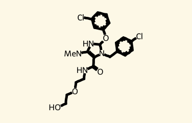 CNC1=C(C(=O)NCCOCCO)N(Cc2ccc(Cl)cc2)C(Oc2cccc(Cl)c2)N1